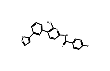 Nc1nc(NC(=O)c2ccc(Cl)cc2)ccc1-c1cccc(-c2ccn[nH]2)c1